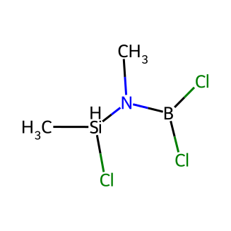 CN(B(Cl)Cl)[SiH](C)Cl